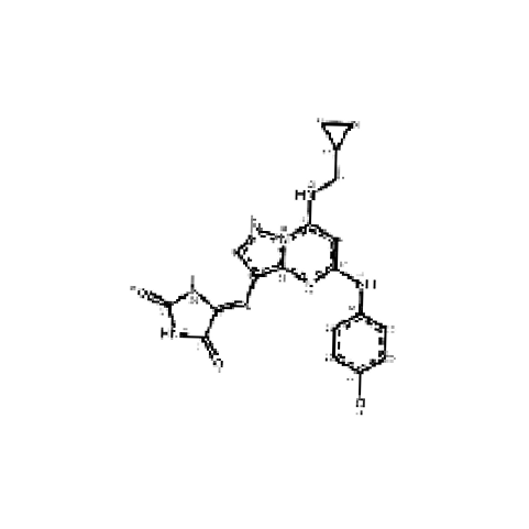 O=C1NC(=O)/C(=C/c2cnn3c(NCC4CC4)cc(Nc4ccc(Cl)cc4)nc23)N1